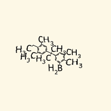 Bc1cc(C(C)(C)c2cc(C)c(CC)c(C)c2)cc(C)c1C